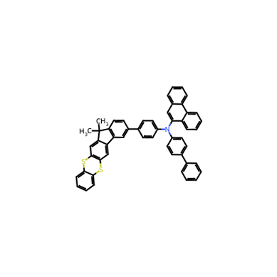 CC1(C)c2ccc(-c3ccc(N(c4ccc(-c5ccccc5)cc4)c4cc5ccccc5c5ccccc45)cc3)cc2-c2cc3c(cc21)Sc1ccccc1S3